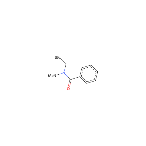 CNN(CC(C)(C)C)C(=O)c1ccccc1